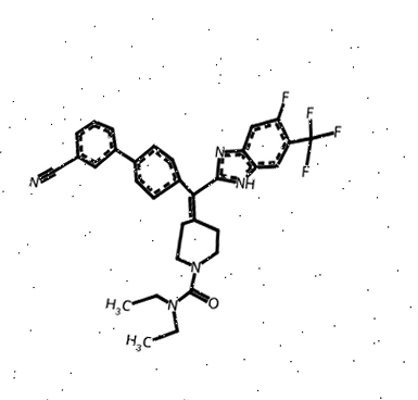 CCN(CC)C(=O)N1CCC(=C(c2ccc(-c3cccc(C#N)c3)cc2)c2nc3cc(F)c(C(F)(F)F)cc3[nH]2)CC1